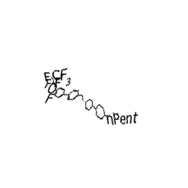 CCCCCC1CCC(C2CCC(CCc3ccc(-c4ccc(OC(F)(F)C(F)C(F)(F)F)c(F)c4)cc3)CC2)CC1